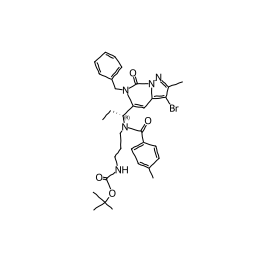 CC[C@H](c1cc2c(Br)c(C)nn2c(=O)n1Cc1ccccc1)N(CCCNC(=O)OC(C)(C)C)C(=O)c1ccc(C)cc1